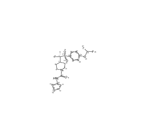 C[C@@](F)(C1CCN(C(=O)Nc2ccon2)CC1)S(=O)(=O)c1ccc(OC(F)F)nc1